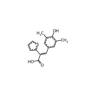 Cc1cc(C=C(C(=O)O)c2cccs2)cc(C)c1O